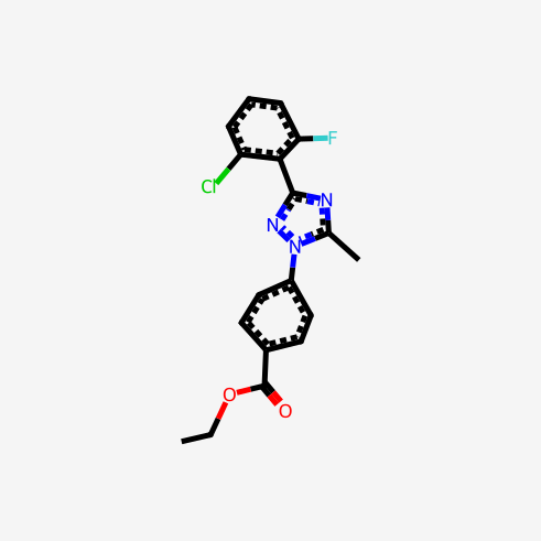 CCOC(=O)c1ccc(-n2nc(-c3c(F)cccc3Cl)nc2C)cc1